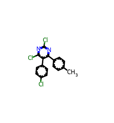 Cc1ccc(-c2nc(Cl)nc(Cl)c2-c2ccc(Cl)cc2)cc1